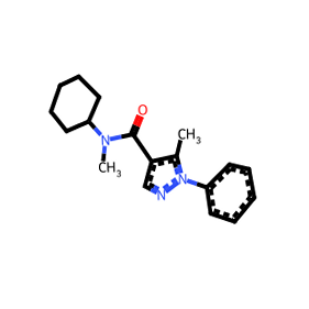 Cc1c(C(=O)N(C)C2CCCCC2)cnn1-c1ccccc1